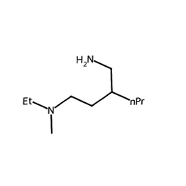 CCCC(CN)CCN(C)CC